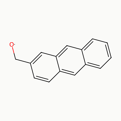 [O]Cc1ccc2cc3ccccc3cc2c1